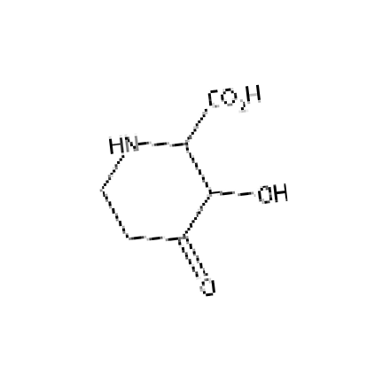 O=C1CCNC(C(=O)O)C1O